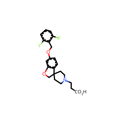 O=C(O)CCN1CCC2(CC1)COc1cc(OCc3c(F)cccc3F)ccc12